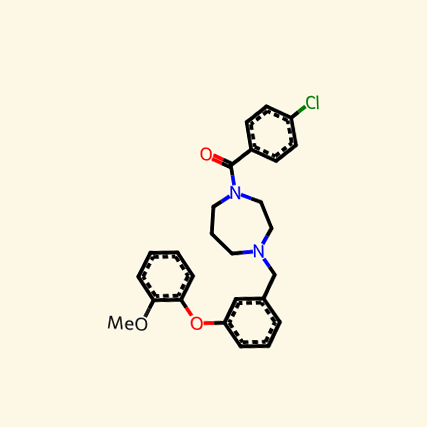 COc1ccccc1Oc1cccc(CN2CCCN(C(=O)c3ccc(Cl)cc3)CC2)c1